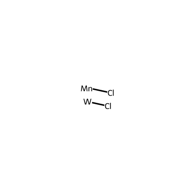 [Cl][Mn].[Cl][W]